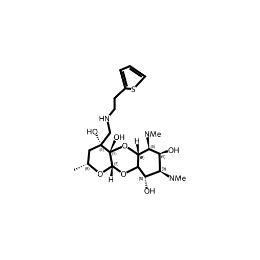 CN[C@@H]1[C@H](O)[C@H](NC)[C@H]2O[C@]3(O)[C@H](OC2[C@H]1O)O[C@H](C)C[C@@]3(O)CNCCc1cccs1